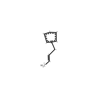 [CH2]/C=C/Cc1ccccc1